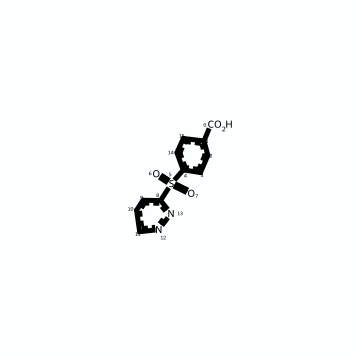 O=C(O)c1ccc(S(=O)(=O)c2cccnn2)cc1